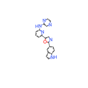 c1cc(Nc2cnccn2)nc(-c2cnc(-c3ccc4[nH]ccc4c3)o2)c1